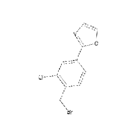 Clc1cc(-c2ncco2)ccc1CBr